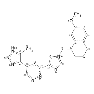 COc1ccc2c(c1)C(Cn1cnc(-c3cc(-c4nn[nH]c4C)ccn3)c1)CCC2